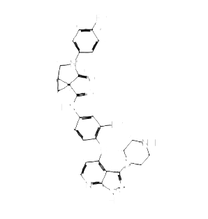 O=C(Nc1ccc(Oc2ccnc3[nH]nc(N4CCNCC4)c23)c(F)c1)C12CC1CN(c1ccc(F)cc1)C2=O